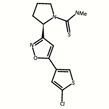 CNC(=S)N1CCC[C@@H]1c1cc(-c2csc(Cl)c2)on1